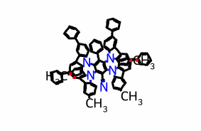 Cc1ccc2c(c1)c1cc(C)ccc1n2-c1c(C#N)c(-n2c3ccc(C)cc3c3cc(C)ccc32)c(-n2c3ccc(-c4ccccc4)cc3c3cc(-c4ccccc4)ccc32)c(-c2ccccc2)c1-n1c2ccc(-c3ccccc3)cc2c2cc(-c3ccccc3)ccc21